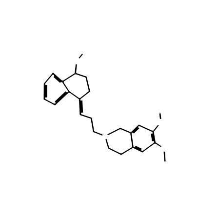 COc1cc2c(cc1OC)CN(CC/C=C1\CCC(OC)c3ccccc31)CC2